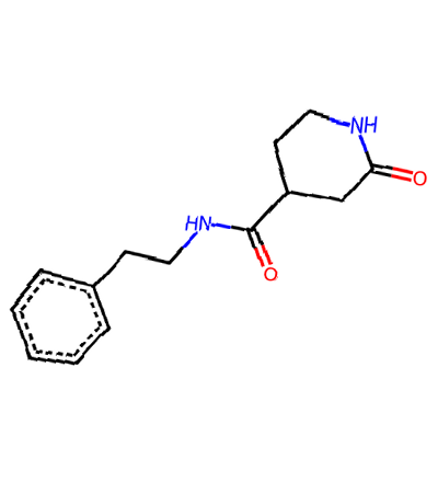 O=C1CC(C(=O)NCCc2ccccc2)CCN1